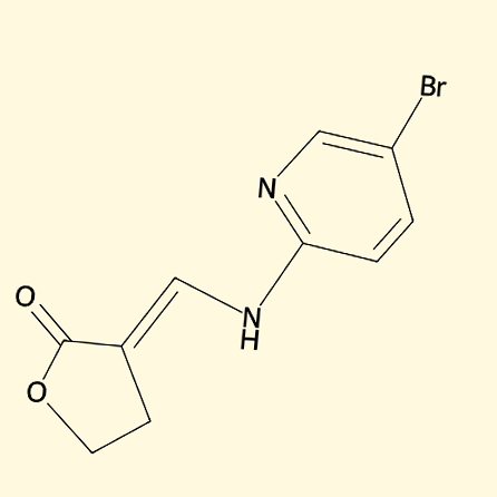 O=C1OCCC1=CNc1ccc(Br)cn1